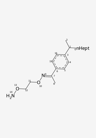 CCCCCCCC(C)c1ccc(/C(C)=N/OCCON)cc1